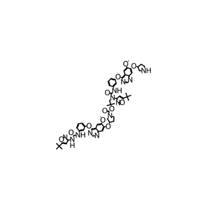 COc1cc2c(Oc3cccc(NC(=O)N(CC(C)(C)OC(=O)N4CCC(Oc5cc6ncnc(Oc7cccc(NC(=O)Nc8cc(C(C)(C)C)on8)c7)c6cc5OC)C4)c4cc(C(C)(C)C)on4)c3)ncnc2cc1OC1CCNC1